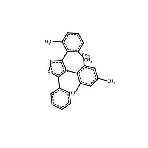 Cc1cc(C)c(-n2c(-c3ccccc3)nnc2-c2c(C)cccc2C)c(C)c1